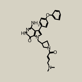 CN(C)CC=CC(=O)N1CCC(Cn2cc(-c3ccc(Oc4ccccc4)cc3)c3c(N)n[nH]c(=O)c32)C1